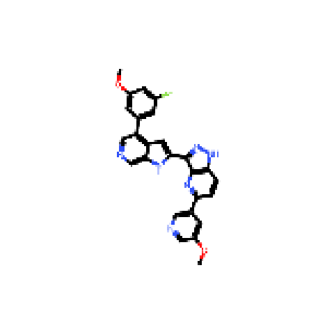 COc1cncc(-c2ccc3[nH]nc(-c4cc5c(-c6cc(F)cc(OC)c6)cncc5[nH]4)c3n2)c1